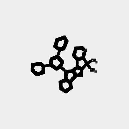 CC1(C)c2ncccc2-n2c1nc1c3ccccc3n(-c3cc(-c4ccccc4)cc(-c4ccccc4)c3)c12